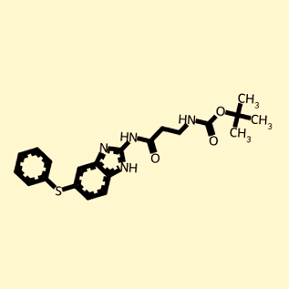 CC(C)(C)OC(=O)NCCC(=O)Nc1nc2cc(Sc3ccccc3)ccc2[nH]1